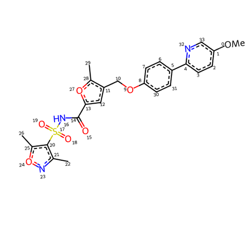 COc1ccc(-c2ccc(OCc3cc(C(=O)NS(=O)(=O)c4c(C)noc4C)oc3C)cc2)nc1